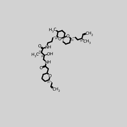 C=CC[C@@H]1CCCC(CC(=O)NC[C@H](O)[C@H](C)C(=O)NCCC[C@H]2O[C@@]3(CCC[C@@H](CC[C@H](C)C=C)O3)CCC2C)O1